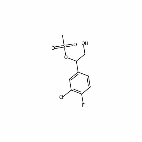 CS(=O)(=O)OC(CO)c1ccc(F)c(Cl)c1